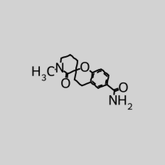 CN1CCCC2(CCc3cc(C(N)=O)ccc3O2)C1=O